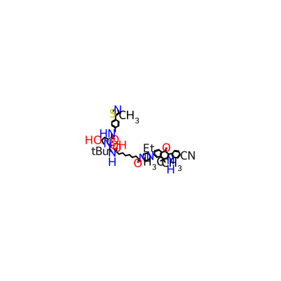 CCc1cc2c(cc1N1CCN(C(=O)CCCCCCC(=O)N[C@H](C(O)N3C[C@H](O)C[C@H]3C(=O)NCc3ccc(-c4scnc4C)cc3)C(C)(C)C)CC1)C(C)(C)c1[nH]c3cc(C#N)ccc3c1C2=O